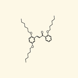 CCCCCCOc1ccc(OCCCCCC)c(C=CC(=O)c2ccccc2OCCCCCC)c1